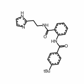 CC(C)(C)c1ccc(C(=O)Nc2ccccc2C(=O)NCCc2ncc[nH]2)cc1